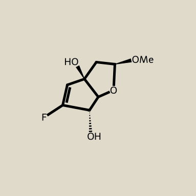 CO[C@@H]1C[C@@]2(O)C=C(F)[C@@H](O)C2O1